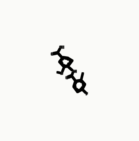 COc1cc(C(=O)O)ccc1NC(=O)c1ccc(F)cc1C